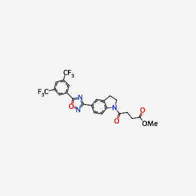 COC(=O)CCC(=O)N1CCc2cc(-c3noc(-c4cc(C(F)(F)F)cc(C(F)(F)F)c4)n3)ccc21